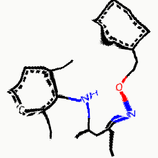 CC(=NOCc1ccccc1)C(C)Nc1c(C)cccc1C